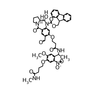 CNC(=O)CCCOc1cc([N+](=O)[O-])c(C(C)NC(=O)CCOc2cc3c(cc2C=O)C(=O)N2CCC[C@H]2[C@H](O)N3C(=O)OCC2c3ccccc3-c3ccccc32)cc1OC